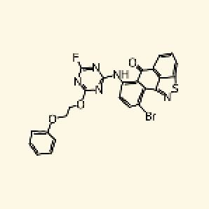 O=C1c2c(Nc3nc(F)nc(OCCOc4ccccc4)n3)ccc(Br)c2-c2nsc3cccc1c23